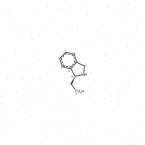 O=C(O)C[C@@H]1NCc2ccccc21